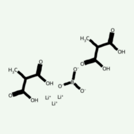 CC(C(=O)O)C(=O)O.CC(C(=O)O)C(=O)O.[Li+].[Li+].[Li+].[O-]B([O-])[O-]